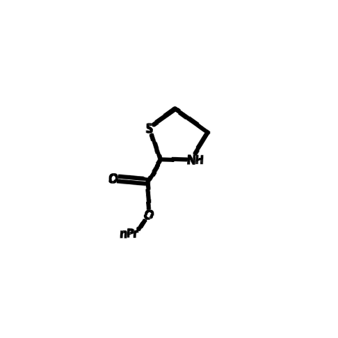 CCCOC(=O)C1NCCS1